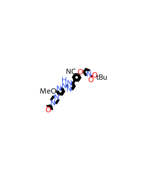 COc1nc(Nc2nccc(-c3ccc(OC4CCN(C(=O)OC(C)(C)C)C4)c(C#N)c3)n2)ccc1N1CCN(C2COC2)CC1